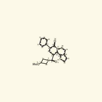 COC1CN(C(=O)c2cc(-c3ccccc3)c(=O)n3ncc4ccsc4c23)C1